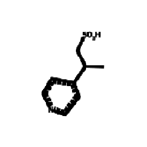 CC(CS(=O)(=O)O)c1ccncc1